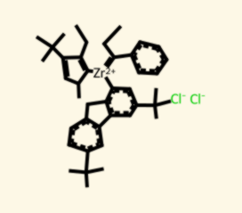 CCC1=[C](/[Zr+2](=[C](\CC)c2ccccc2)[c]2cc(C(C)(C)C)cc3c2Cc2ccc(C(C)(C)C)cc2-3)C(C)C=C1C(C)(C)C.[Cl-].[Cl-]